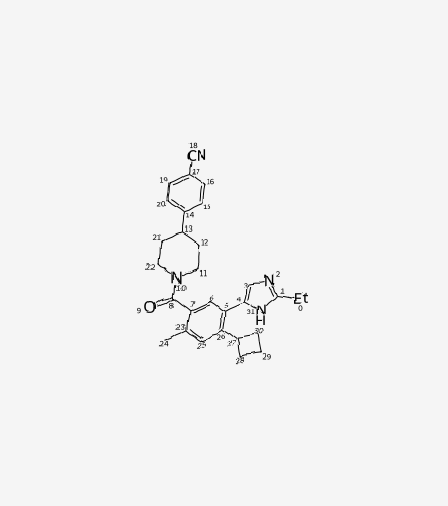 CCc1ncc(-c2cc(C(=O)N3CCC(c4ccc(C#N)cc4)CC3)c(C)cc2C2CCC2)[nH]1